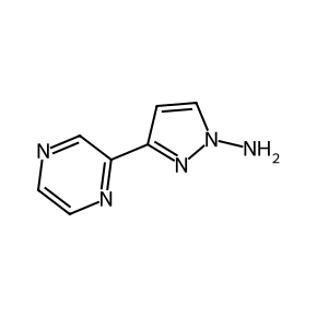 Nn1ccc(-c2cnccn2)n1